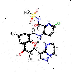 Cc1cc(C(C)Nc2ccc(Cl)nc2C(=O)NS(C)(=O)=O)c2oc(-c3cnn4cccnc34)c(C)c(=O)c2c1